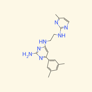 Cc1cc(C)cc(-c2cc(NCCNc3nccc(C)n3)nc(N)n2)c1